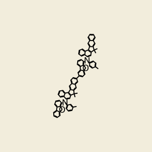 Cc1ccc(N(c2cc3c(c4ccccc24)-c2cc4ccccc4cc2C3(C)C)c2cccc3c2oc2ccc(-c4ccc5cc6c(cc5c4)C(C)(C)c4cc(N(c5cccc(C)c5)c5cccc7c5oc5ccccc57)c5ccccc5c4-6)cc23)cc1